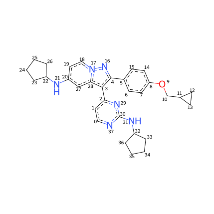 c1cc(-c2c(-c3ccc(OCC4CC4)cc3)nn3ccc(NC4CCCC4)cc23)nc(NC2CCCC2)n1